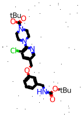 CC(C)(C)OC(=O)NCc1cccc(OCc2cnc(N3CCN(C(=O)OC(C)(C)C)CC3)c(Cl)c2)c1